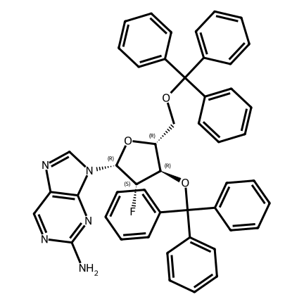 Nc1ncc2ncn([C@@H]3O[C@H](COC(c4ccccc4)(c4ccccc4)c4ccccc4)[C@@H](OC(c4ccccc4)(c4ccccc4)c4ccccc4)[C@@H]3F)c2n1